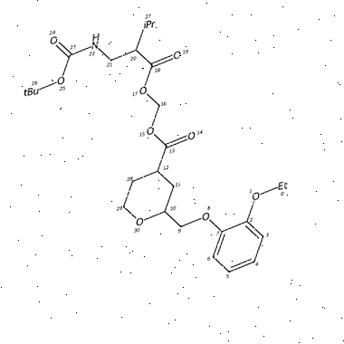 CCOc1ccccc1OCC1CC(C(=O)OCOC(=O)C(CNC(=O)OC(C)(C)C)C(C)C)CCO1